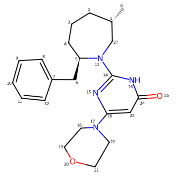 C[C@H]1CCC[C@H](Cc2ccccc2)N(c2nc(N3CCOCC3)cc(=O)[nH]2)C1